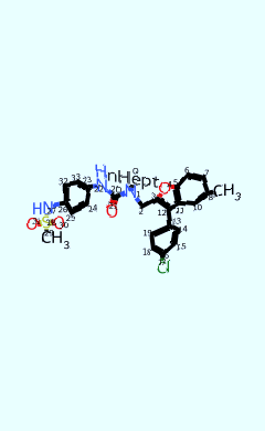 CCCCCCCN(Cc1oc2ccc(C)cc2c1-c1ccc(Cl)cc1)C(=O)Nc1ccc(NS(C)(=O)=O)cc1